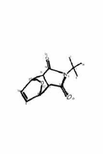 CC(C)(C)N1C(=O)C2C3C=CC(O3)C2C1=O